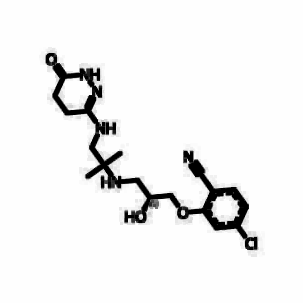 CC(C)(CNC1=NNC(=O)CC1)NC[C@H](O)COc1cc(Cl)ccc1C#N